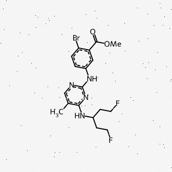 COC(=O)c1cc(Nc2ncc(C)c(NC(CCF)CCF)n2)ccc1Br